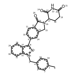 Cc1ccc(Cn2nc(-c3ccc4c(c3)CN(C3CCC(=O)NC3=O)C4=O)c3ccccc32)cc1